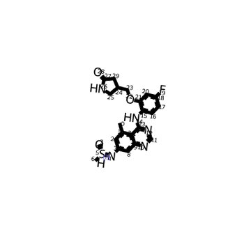 Cc1cc(/N=[SH](/C)=O)cc2ncnc(Nc3ccc(F)cc3OCC3CNC(=O)C3)c12